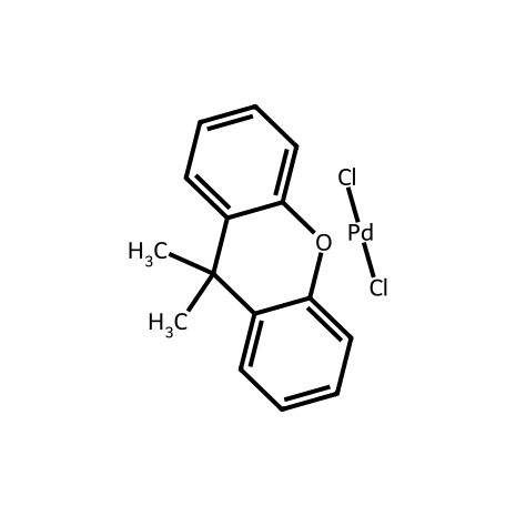 CC1(C)c2ccccc2Oc2ccccc21.[Cl][Pd][Cl]